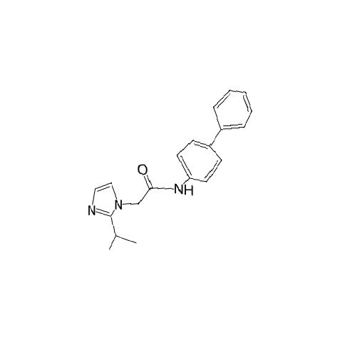 CC(C)c1nccn1CC(=O)Nc1ccc(-c2ccccc2)cc1